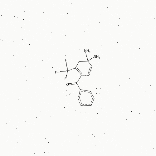 NC1(N)C=CC(C(=O)c2ccccc2)=C(C(F)(F)F)C1